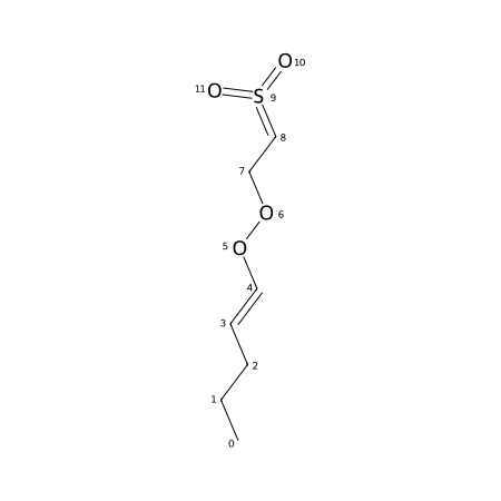 CCCC=COOCC=S(=O)=O